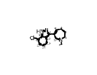 CN1CCCC=C(c2n[nH]c3c(Cl)cccc23)C1